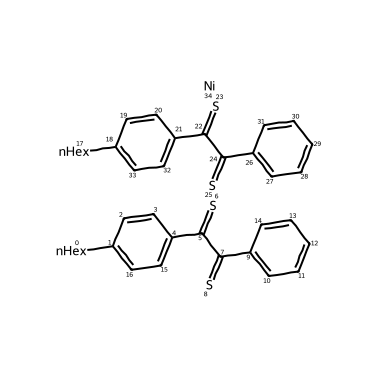 CCCCCCc1ccc(C(=S)C(=S)c2ccccc2)cc1.CCCCCCc1ccc(C(=S)C(=S)c2ccccc2)cc1.[Ni]